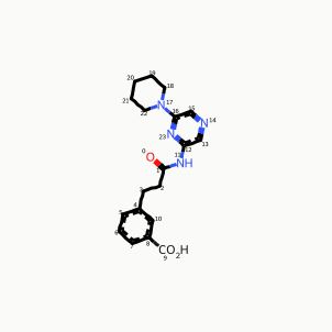 O=C(CCc1cccc(C(=O)O)c1)Nc1cncc(N2CCCCC2)n1